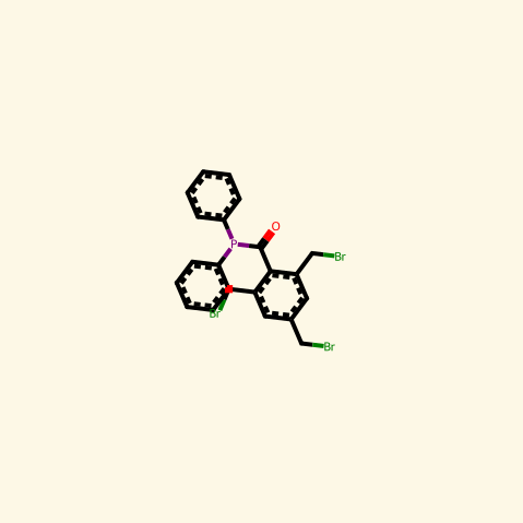 O=C(c1c(CBr)cc(CBr)cc1CBr)P(c1ccccc1)c1ccccc1